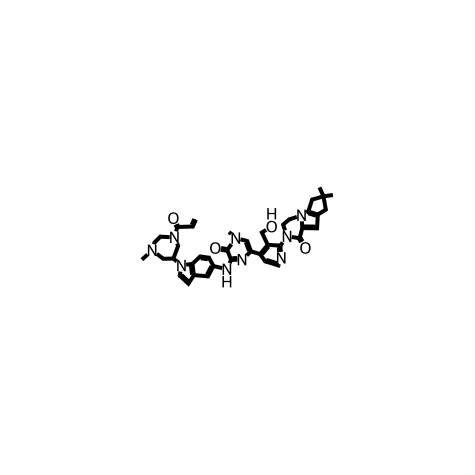 C=CC(=O)N1CCN(C)CC(n2ccc3cc(Nc4nc(-c5ccnc(N6CCn7c(cc8c7CC(C)(C)C8)C6=O)c5CO)cn(C)c4=O)ccc32)C1